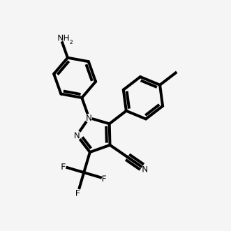 Cc1ccc(-c2c(C#N)c(C(F)(F)F)nn2-c2ccc(N)cc2)cc1